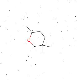 CC1CCC(C)(C)CO1